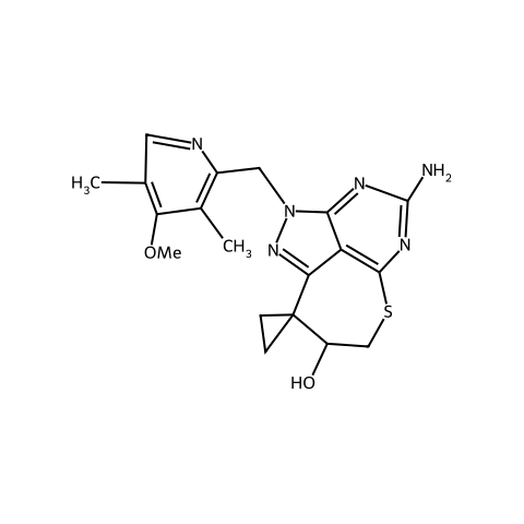 COc1c(C)cnc(Cn2nc3c4c(nc(N)nc42)SCC(O)C32CC2)c1C